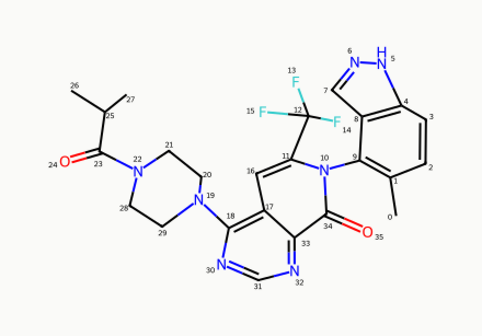 Cc1ccc2[nH]ncc2c1-n1c(C(F)(F)F)cc2c(N3CCN(C(=O)C(C)C)CC3)ncnc2c1=O